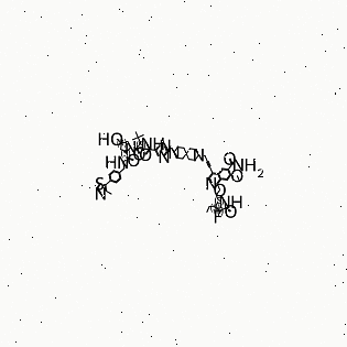 CC[C@@H]1[C@H](F)C(=O)N[C@@H]1COc1ncc(C#CCN2CCC3(CC2)CCN(c2ncc(C(=O)N[C@H](C(=O)N4C[C@H](O)C[C@H]4C(=O)NCc4ccc(-c5scnc5C)cc4)C(C)(C)C)cn2)CC3)c2cc(C(N)=O)c(OC)cc12